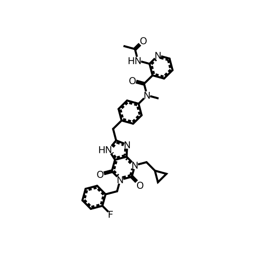 CC(=O)Nc1ncccc1C(=O)N(C)c1ccc(Cc2nc3c([nH]2)c(=O)n(Cc2ccccc2F)c(=O)n3CC2CC2)cc1